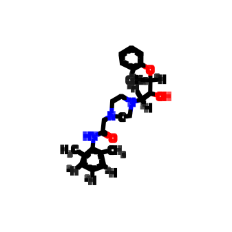 [2H]c1c([2H])c(C)c(NC(=O)CN2CCN(C([2H])([2H])C(O)C([2H])([2H])Oc3ccccc3OC)CC2)c(C)c1[2H]